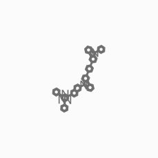 c1ccc(-c2nc(-c3ccccc3)nc(-c3ccc4cc(-n5c6ccccc6c6cc(-c7ccc(-c8ccc9c(c8)c8ccccc8n9-c8ccccc8)cc7)ccc65)ccc4c3)n2)cc1